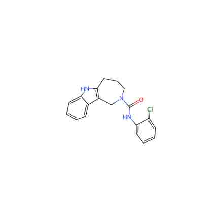 O=C(Nc1ccccc1Cl)N1CCCc2[nH]c3ccccc3c2C1